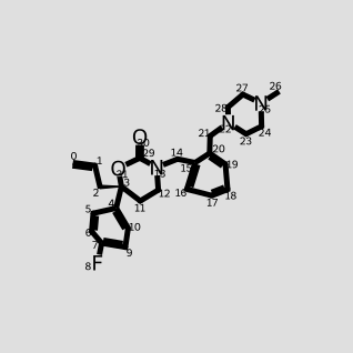 C=CC[C@]1(c2ccc(F)cc2)CCN(Cc2ccccc2CN2CCN(C)CC2)C(=O)O1